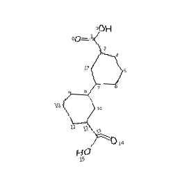 O=C(O)C1CCCC(C2CCCC(C(=O)O)C2)C1